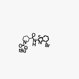 CC(C)(C)OC(=O)N1CCCC(C(=O)Nc2nc3c(Br)cccc3s2)C1